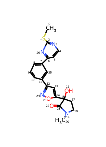 CSc1nccc(-c2cccc(-c3cc(C4(O)CCN(C)C4=O)on3)c2)n1